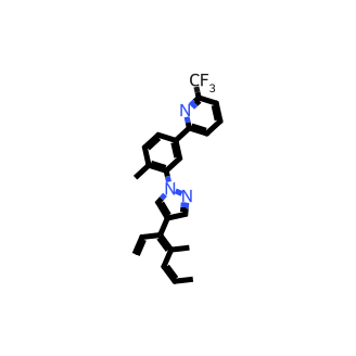 C=C/C(=C(C)\C=C/C)c1cnn(-c2cc(-c3cccc(C(F)(F)F)n3)ccc2C)c1